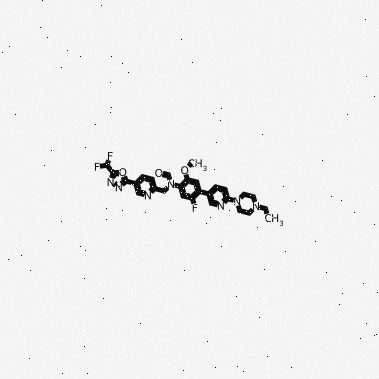 CCN1CCN(c2ccc(-c3cc(OC)c(N(C=O)Cc4ccc(-c5nnc(C(F)F)o5)cn4)cc3F)cn2)CC1